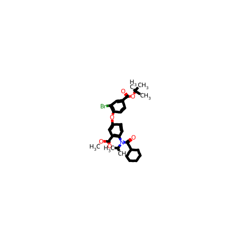 COC(=O)c1cc(Oc2ccc(C(=O)OC(C)(C)C)cc2Br)ccc1N(C(=O)C1CCCCC1)C(C)C